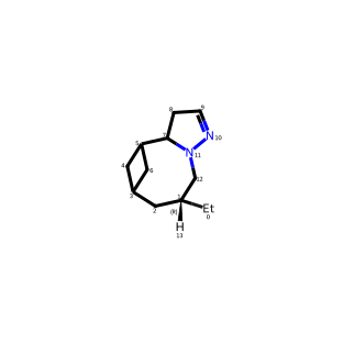 CC[C@@H]1CC2CC(C2)C2CC=NN2C1